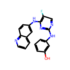 Oc1cccc(Nc2ncc(F)c(Nc3ccc4ncccc4c3)n2)c1